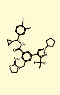 Cc1cc([C@@H](NC(=O)c2cc(CN3CCSC3=N)cc(-c3cn(C4CCCC4)nc3C(F)(F)F)c2)C2CC2)ccc1F